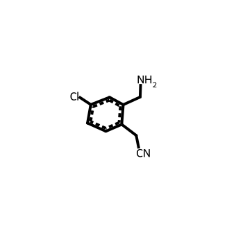 N#CCc1ccc(Cl)cc1CN